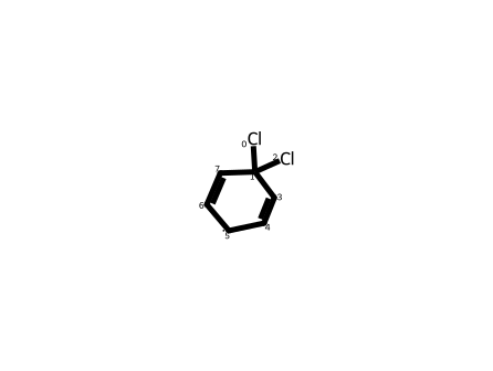 ClC1(Cl)C=C[CH]C=C1